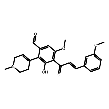 COc1cccc(/C=C/C(=O)c2c(OC)cc(C=O)c(C3=CCN(C)CC3)c2O)c1